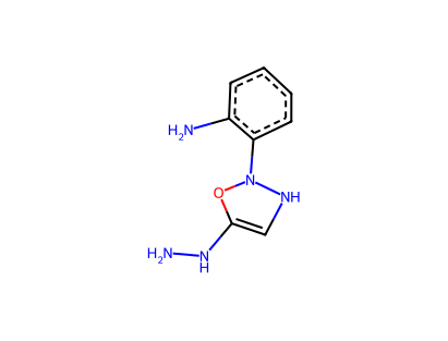 NNC1=CNN(c2ccccc2N)O1